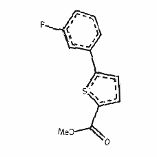 COC(=O)c1ccc(-c2cccc(F)c2)s1